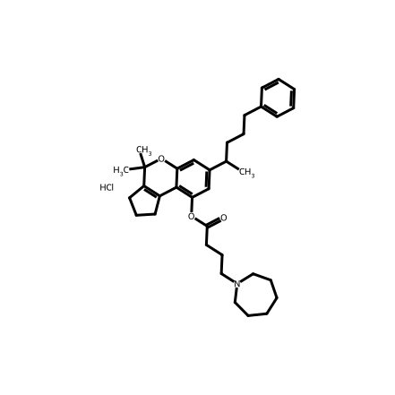 CC(CCCc1ccccc1)c1cc(OC(=O)CCCN2CCCCCC2)c2c(c1)OC(C)(C)C1=C2CCC1.Cl